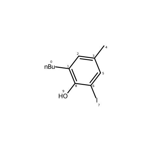 CCCCc1cc(C)cc(I)c1O